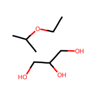 CCOC(C)C.OCC(O)CO